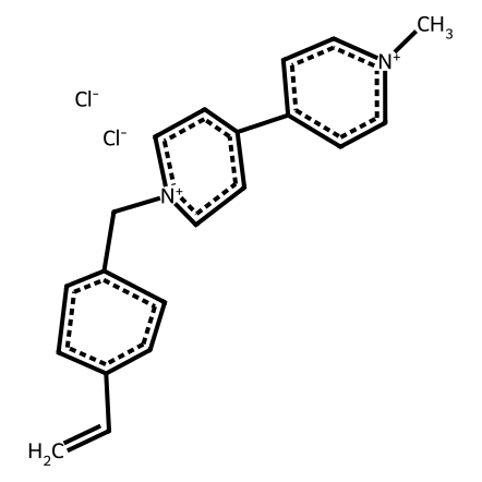 C=Cc1ccc(C[n+]2ccc(-c3cc[n+](C)cc3)cc2)cc1.[Cl-].[Cl-]